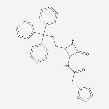 O=C(Cc1cccs1)NC1C(=O)NC1CSC(c1ccccc1)(c1ccccc1)c1ccccc1